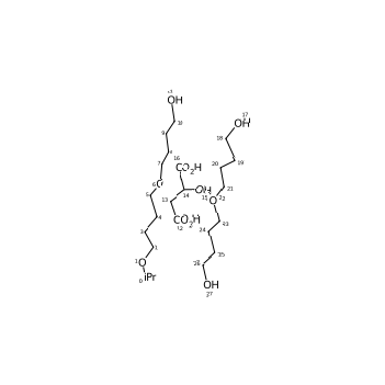 CC(C)OCCCCOCCCCO.O=C(O)CC(O)C(=O)O.OCCCCOCCCCO